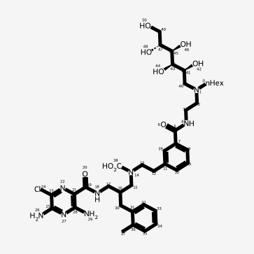 CCCCCCN(CCNC(=O)c1cccc(CCN(CC(CNC(=O)c2nc(Cl)c(N)nc2N)Cc2ccccc2C)C(=O)O)c1)C[C@H](O)[C@@H](O)[C@H](O)[C@H](O)CO